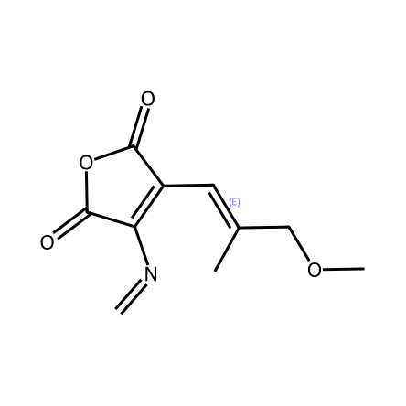 C=NC1=C(/C=C(\C)COC)C(=O)OC1=O